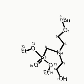 CCCCOCCN(CCO)CP(=O)(OCC)OCC